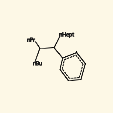 CCCCCCCC(c1[c]cccc1)C(CCC)CCCC